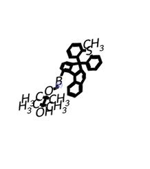 CC12C=CC=CC1C1(c3ccccc3S2)c2cccc(/B=C\OC(C)(C)C(C)(C)O)c2-c2c1ccc1ccccc21